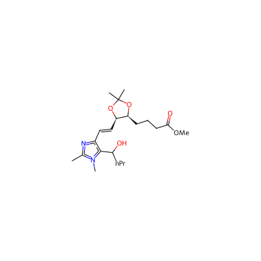 CCCC(O)c1c(/C=C/[C@H]2OC(C)(C)O[C@H]2CCCC(=O)OC)nc(C)n1C